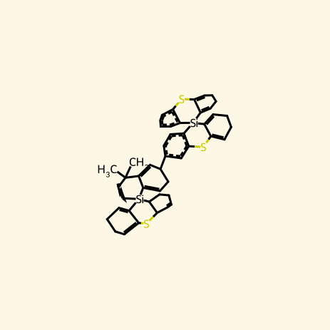 CC1(C)C2=CC(c3ccc4c(c3)SC3=CCCC=C3[Si]43C4=CCCC=C4Sc4ccccc43)CC=C2[Si]2(C3=CCCC=C3SC3C=CCCC32)C2C=CC=CC21